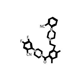 Cc1cc(C)c(C(=O)N2CCN(c3cc(F)c(F)cc3C#N)CC2)cc1CCN1CCN(c2ccccc2C#N)CC1